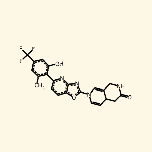 Cc1cc(C(F)(F)F)cc(O)c1-c1ccc2oc(N3C=CC4CC(=O)NCC4=C3)nc2n1